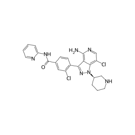 Nc1ncc(Cl)c2c1c(-c1ccc(C(=O)Nc3ccccn3)cc1Cl)nn2[C@@H]1CCCNC1